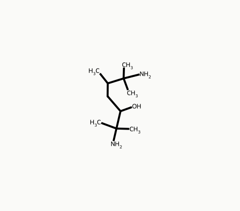 CC(CC(O)C(C)(C)N)C(C)(C)N